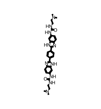 CN(C)CCNC(=O)Nc1ccc2nc(-c3ccc(-c4nc5ccc(NC(=O)NCCN(C)C)cc5[nH]4)cc3)[nH]c2c1